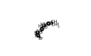 CN(C)c1ccc(NC(=O)Nc2ccc(Oc3ncnc4ncc(Br)cc34)cc2)cc1